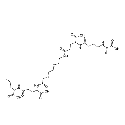 CCCC(NC(=O)CCC(NC(=O)COCCOCCNC(=O)CCC(NC(=O)CCCNC(=O)C(=O)O)C(=O)O)C(=O)O)C(=O)O